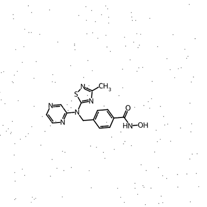 Cc1nsc(N(Cc2ccc(C(=O)NO)cc2)c2cnccn2)n1